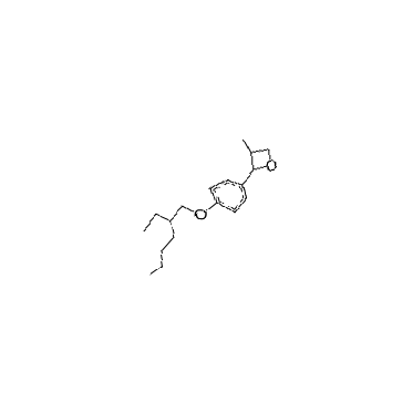 CCCCC(CC)COc1ccc(C2OCC2C)cc1